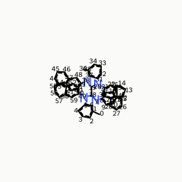 Cc1cccc2c1N(c1ccc3ccccc3c1)C(C1N(c3ccc4ccccc4c3)c3cccc(C)c3N1c1ccc3ccccc3c1)N2c1ccc2ccccc2c1